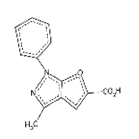 Cc1nn(-c2ccccc2)c2oc(C(=O)O)cc12